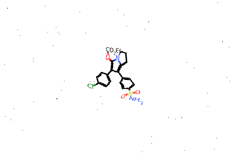 CCOC(=O)Oc1c(-c2ccc(Cl)cc2)c(-c2ccc(S(N)(=O)=O)cc2)c2n1CCC2